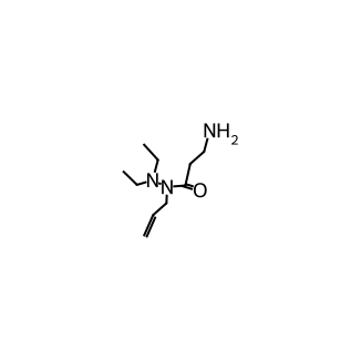 C=CCN(C(=O)CCN)N(CC)CC